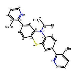 CCCCc1cccnc1-c1ccc2c(c1)Sc1ccc(-c3ncccc3CCCC)cc1N2C(CC)S(=O)(=O)O